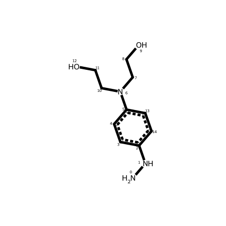 NNc1ccc(N(CCO)CCO)cc1